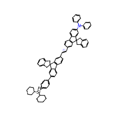 C(=C\c1ccc2c(c1)C1(Cc3ccccc3C1)c1cc(N(c3ccccc3)c3ccccc3)ccc1-2)/c1ccc2c(c1)C1(Cc3ccccc3C1)c1cc(-c3ccc([SiH](C4CCCCC4)C4CCCCC4)cc3)ccc1-2